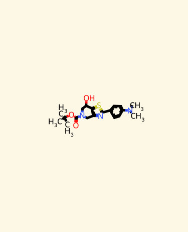 CN(C)c1ccc(-c2nc3c(s2)C(O)CN(C(=O)OC(C)(C)C)C3)cc1